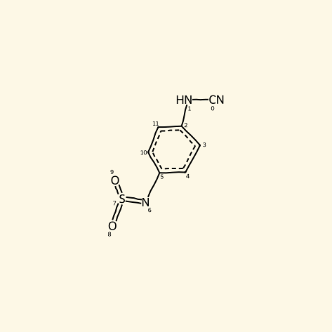 N#CNc1ccc(N=S(=O)=O)cc1